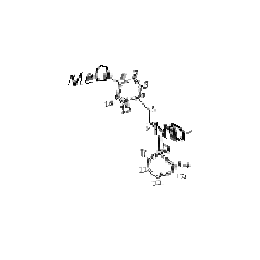 COc1ccc(CC=[N+]([O-])c2ccccc2)cc1